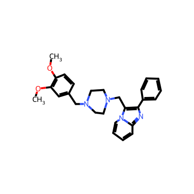 COc1ccc(CN2CCN(Cc3c(-c4ccccc4)nc4ccccn34)CC2)cc1OC